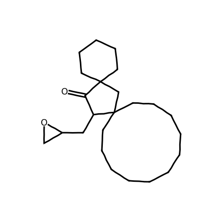 O=C1C(CC2CO2)C2(CCCCCCCCCCC2)CC12CCCCC2